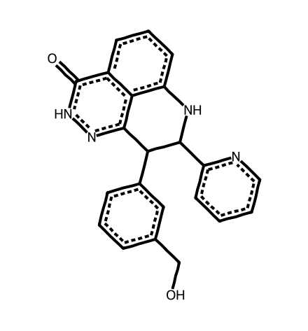 O=c1[nH]nc2c3c(cccc13)NC(c1ccccn1)C2c1cccc(CO)c1